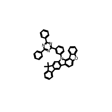 CC1(C)c2ccccc2-c2cc3c4ccc5oc6ccccc6c5c4n(-c4cccc(-c5nc(-c6ccccc6)nc(-c6ccccc6)n5)c4)c3cc21